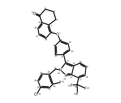 O=C1CCCc2c(Oc3ccc(-c4c5cccc(C(F)(F)F)c5nn4Cc4ccc(Cl)cc4F)cc3)cccc21